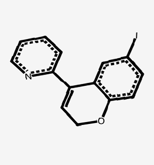 Ic1ccc2c(c1)C(c1ccccn1)=CCO2